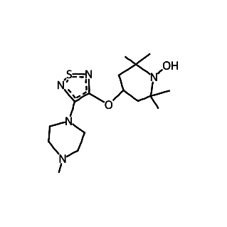 CN1CCN(c2nsnc2OC2CC(C)(C)N(O)C(C)(C)C2)CC1